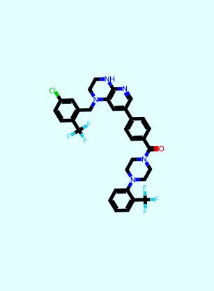 O=C(c1ccc(-c2cnc3c(c2)N(Cc2cc(Cl)ccc2C(F)(F)F)CCN3)cc1)N1CCN(c2ccccc2C(F)(F)F)CC1